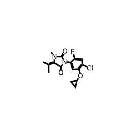 CC(C)=C1C(=O)N(c2cc(OC3CC3)c(Cl)cc2F)C(=O)N1C